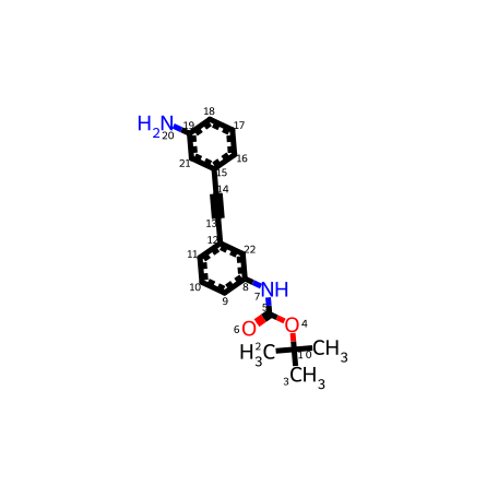 CC(C)(C)OC(=O)Nc1cccc(C#Cc2cccc(N)c2)c1